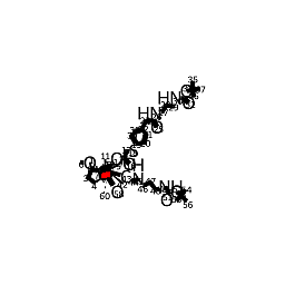 CO[C@@H]1CC[C@]23CC[C@@H](C)[C@](C)(C12)[C@H](OC(=O)CSc1ccc(CC(=O)NCCCNC(=O)OC(C)(C)C)cc1)C[C@](C)(CCNCCCNC(=O)OC(C)(C)C)C(=O)[C@@H]3C